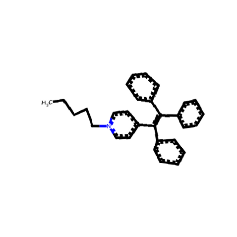 CCCCC[n+]1ccc(C(=C(c2ccccc2)c2ccccc2)c2ccccc2)cc1